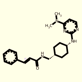 CN(C)c1ccnc(N[C@H]2CC[C@@H](CNC(=O)/C=C/c3ccccc3)CC2)n1